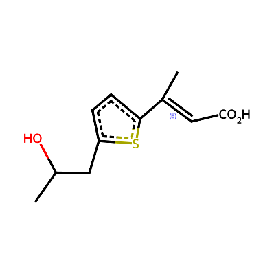 C/C(=C\C(=O)O)c1ccc(CC(C)O)s1